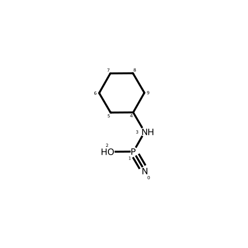 N#P(O)NC1CCCCC1